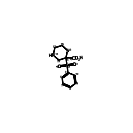 O=C(O)C1(S(=O)(=O)c2ccccc2)CNCCS1